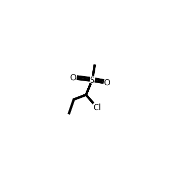 CC[C](Cl)S(C)(=O)=O